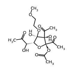 COCCO[C@]1(O)[C@@H](C(O)C(C)=O)O[C@@](OC(C)=O)(C(C)=O)[C@@]1(O)C(C)=O